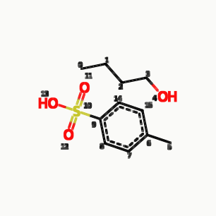 CCCCO.Cc1ccc(S(=O)(=O)O)cc1